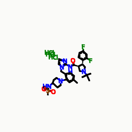 Cc1ccc(Cn2ccnc2NC(=O)[C@@H]2CN(C(C)(C)C)C[C@H]2c2ccc(F)cc2F)c(N2CCC(NS(C)(=O)=O)CC2)c1.Cl.Cl.Cl